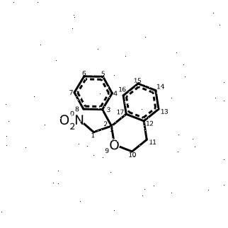 O=[N+]([O-])CC1(c2ccccc2)OCCc2ccccc21